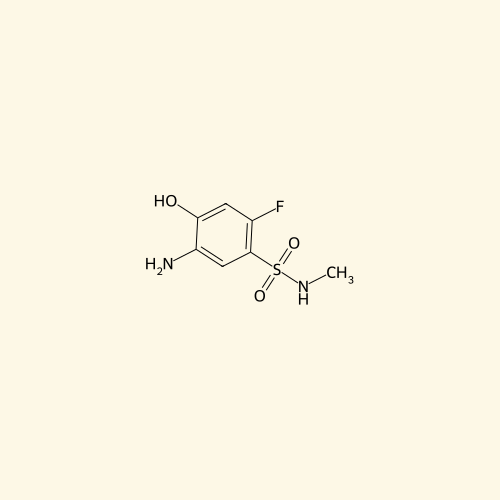 CNS(=O)(=O)c1cc(N)c(O)cc1F